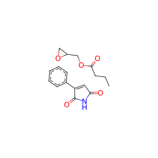 CCCC(=O)OCC1CO1.O=C1C=C(c2ccccc2)C(=O)N1